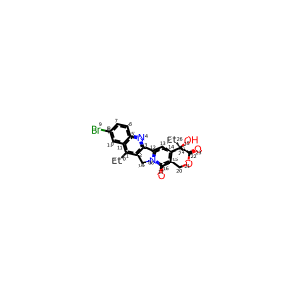 CCc1c2c(nc3ccc(Br)cc13)-c1cc3c(c(=O)n1C2)COC(=O)[C@]3(O)CC